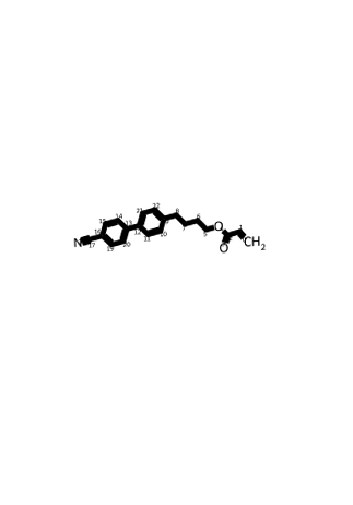 C=CC(=O)OCCCCc1ccc(-c2ccc(C#N)cc2)cc1